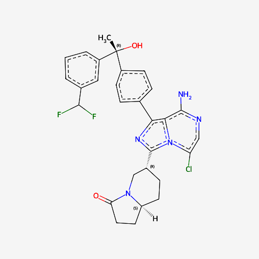 C[C@@](O)(c1ccc(-c2nc([C@@H]3CC[C@H]4CCC(=O)N4C3)n3c(Cl)cnc(N)c23)cc1)c1cccc(C(F)F)c1